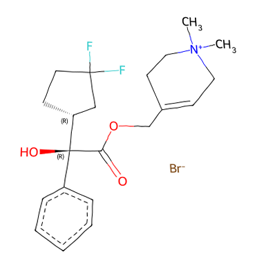 C[N+]1(C)CC=C(COC(=O)[C@](O)(c2ccccc2)[C@@H]2CCC(F)(F)C2)CC1.[Br-]